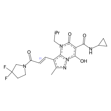 Cc1nn2c(O)c(C(=O)NC3CC3)c(=O)n(CC(C)C)c2c1/C=C/C(=O)N1CCC(F)(F)C1